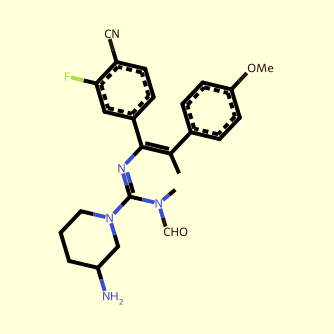 COc1ccc(/C(C)=C(/N=C(\N(C)C=O)N2CCCC(N)C2)c2ccc(C#N)c(F)c2)cc1